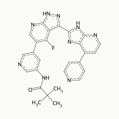 CC(C)(C)C(=O)Nc1cncc(-c2cnc3[nH]nc(-c4nc5c(-c6ccncc6)ccnc5[nH]4)c3c2F)c1